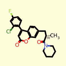 C[C@@H](Cc1ccc2c(-c3ccc(F)cc3Cl)cc(=O)oc2c1)C(=O)N1CCCCC1